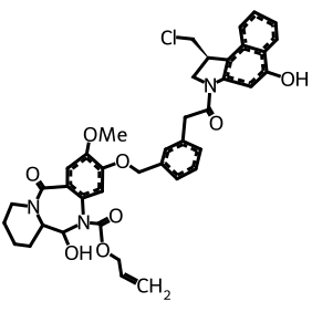 C=CCOC(=O)N1c2cc(OCc3cccc(CC(=O)N4C[C@@H](CCl)c5c4cc(O)c4ccccc54)c3)c(OC)cc2C(=O)N2CCCCC2C1O